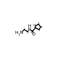 NCCNC(=O)C1CCCC1